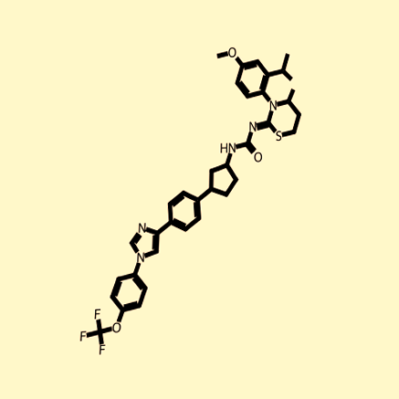 COc1ccc(N2/C(=N/C(=O)NC3CCC(c4ccc(-c5cn(-c6ccc(OC(F)(F)F)cc6)cn5)cc4)C3)SCCC2C)c(C(C)C)c1